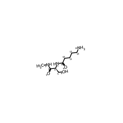 CNC(=O)[C@H](CO)NC(=O)CCCCN